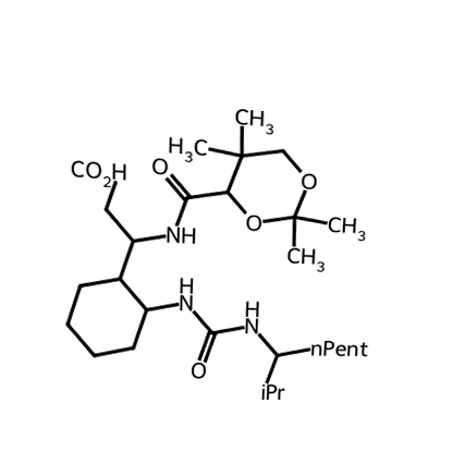 CCCCCC(NC(=O)NC1CCCCC1C(CC(=O)O)NC(=O)C1OC(C)(C)OCC1(C)C)C(C)C